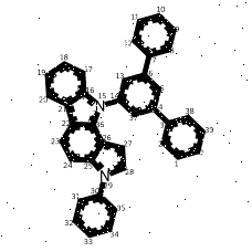 c1ccc(-c2cc(-c3ccccc3)cc(-n3c4ccccc4c4ccc5c(ccn5-c5ccccc5)c43)c2)cc1